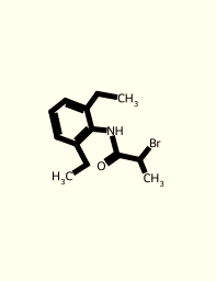 CCc1cccc(CC)c1NC(=O)C(C)Br